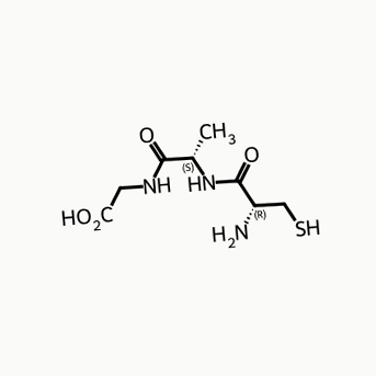 C[C@H](NC(=O)[C@@H](N)CS)C(=O)NCC(=O)O